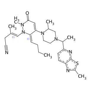 CCC/C=C1\C(N2CCN(C(C)c3ccc4nc(C)sc4n3)CC2C)=CC(=O)N(C)N1/C=C(\C)CC#N